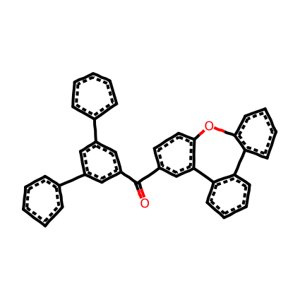 O=C(c1cc(-c2ccccc2)cc(-c2ccccc2)c1)c1ccc2c(c1)-c1ccccc1-c1ccccc1O2